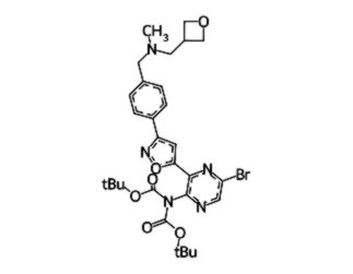 CN(Cc1ccc(-c2cc(-c3nc(Br)cnc3N(C(=O)OC(C)(C)C)C(=O)OC(C)(C)C)on2)cc1)CC1COC1